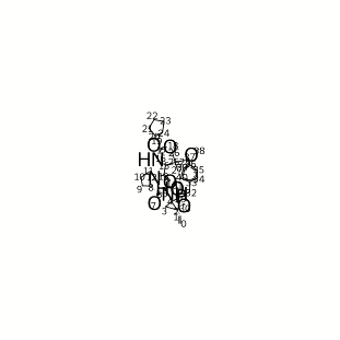 C=C[C@@H]1C[C@]1(NC(=O)[C@@H]1CCCN1C(=O)[C@@H](NC(=O)OC1CCCC1)C(C)(C)C)P(=O)(O)Cc1ccc(OC)cc1